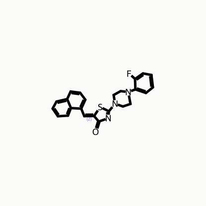 O=C1N=C(N2CCN(c3ccccc3F)CC2)S/C1=C\c1cccc2ccccc12